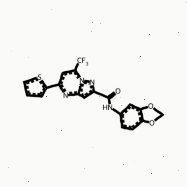 O=C(Nc1ccc2c(c1)OCO2)c1cc2nc(-c3cccs3)cc(C(F)(F)F)n2n1